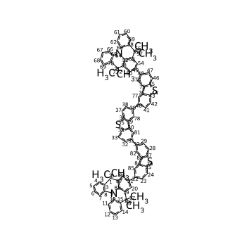 CC1(C)c2ccccc2N2c3ccccc3C(C)(C)c3cc(-c4ccc5sc6ccc(-c7ccc8sc9ccc(-c%10ccc%11sc%12ccc(-c%13cc%14c%15c(c%13)C(C)(C)c%13ccccc%13N%15c%13ccccc%13C%14(C)C)cc%12c%11c%10)cc9c8c7)cc6c5c4)cc1c32